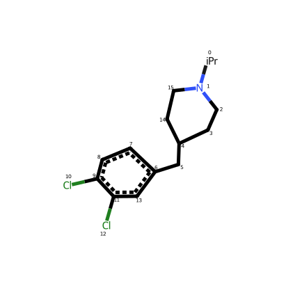 CC(C)N1CCC(Cc2ccc(Cl)c(Cl)c2)CC1